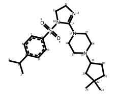 CC(C)c1ccc(S(=O)(=O)N2CCN=C2N2CCN(C3CCC(C)(C)C3)CC2)cc1